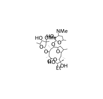 CC[C@@H](O)[C@@](C)(O)[C@@H]1OC(=O)[C@H](C)[C@@H](O[C@H]2CC(C)(OC)[C@@H](O)C(C)O2)[C@H](C)[C@@H](O[C@@H]2OC(C)CC(NC)C2O)[C@@]2(C)CC(C)C(O2)[C@@H]1C